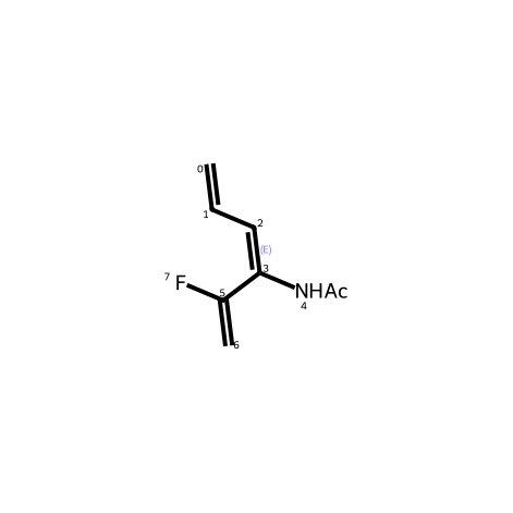 C=C/C=C(/NC(C)=O)C(=C)F